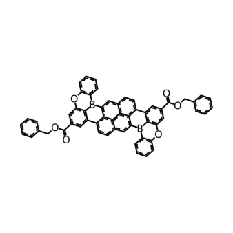 O=C(OCc1ccccc1)c1cc2c3c(c1)-c1ccc4cc5c6c(ccc7cc(c1c4c76)B3c1ccccc1O2)-c1cc(C(=O)OCc2ccccc2)cc2c1B5c1ccccc1O2